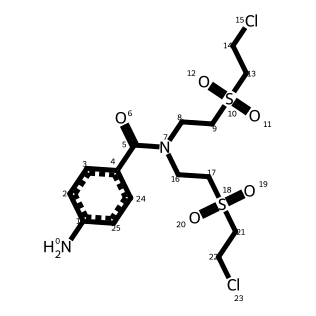 Nc1ccc(C(=O)N(CCS(=O)(=O)CCCl)CCS(=O)(=O)CCCl)cc1